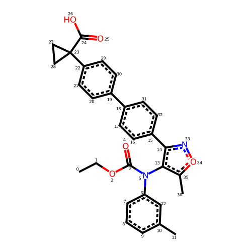 CCOC(=O)N(c1cccc(C)c1)c1c(-c2ccc(-c3ccc(C4(C(=O)O)CC4)cc3)cc2)noc1C